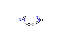 c1ccc2c(c1)c1ccncc1n2-c1ccc(Cc2ccc(-c3ccc(Cc4ccc(-n5c6ccccc6c6ccncc65)cc4)cc3)cc2)cc1